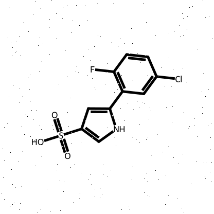 O=S(=O)(O)c1c[nH]c(-c2cc(Cl)ccc2F)c1